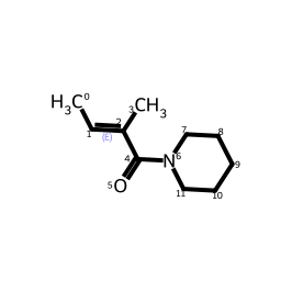 C/C=C(\C)C(=O)N1CCCCC1